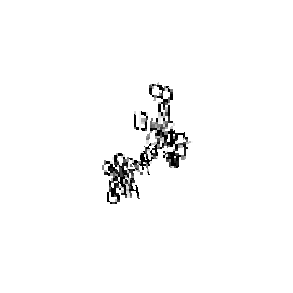 Cc1nn(C)c(C)c1-c1c(F)ccc2c(CCCOc3cccc4ccccc34)c(C(=O)OC(C)(C)C)n(CCN3CCN(C(=O)COc4cccc5c4C(=O)N(C4CCC(=O)NC4=O)C5=O)CC3)c12